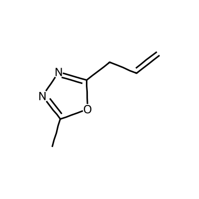 C=CCc1nnc(C)o1